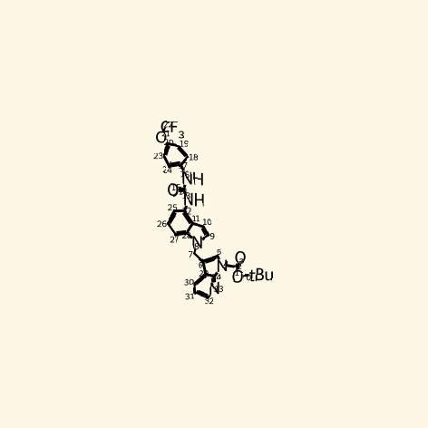 CC(C)(C)OC(=O)n1cc(Cn2ccc3c(NC(=O)Nc4ccc(OC(F)(F)F)cc4)cccc32)c2cccnc21